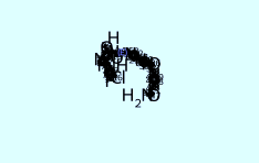 COc1cc2ncnc(Nc3ccc(F)c(Cl)c3)c2cc1NC(=O)/C=C/CN1CCC(N2CCN(C(=O)CCN3CCN(CCC(N)=O)CC3)CC2)CC1